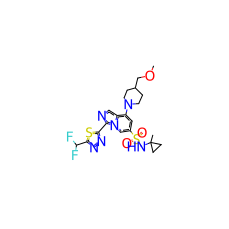 COCC1CCN(c2cc(S(=O)(=O)NC3(C)CC3)cn3c(-c4nnc(C(F)F)s4)ncc23)CC1